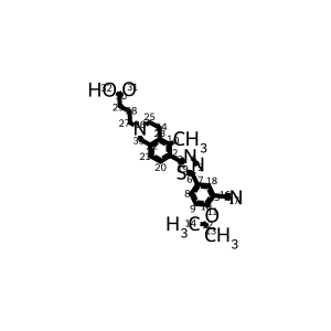 Cc1c(-c2nnc(-c3ccc(OC(C)C)c(C#N)c3)s2)ccc2c1CCN(CCCC(=O)O)C2